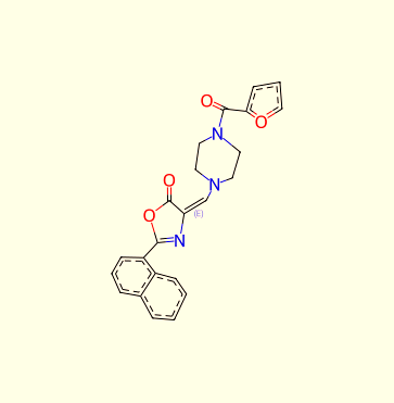 O=C1OC(c2cccc3ccccc23)=N/C1=C/N1CCN(C(=O)c2ccco2)CC1